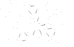 C(=Cc1c(C=Cc2ccccc2)c2c3ccccc3c1CCOO2)c1ccccc1